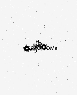 COc1ccc(S(=O)(=O)NC(C)(C)C(=O)OCc2ccccc2)cc1